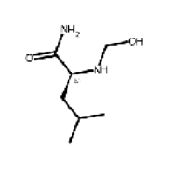 CC(C)C[C@H](NCO)C(N)=O